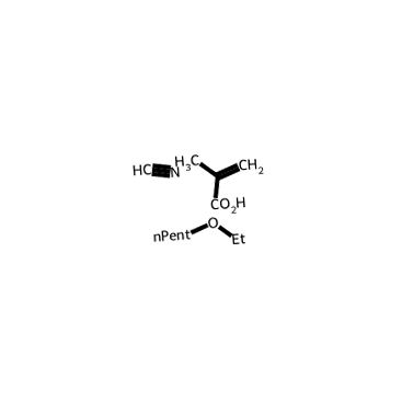 C#N.C=C(C)C(=O)O.CCCCCOCC